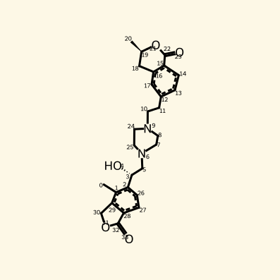 Cc1c([C@H](O)CN2CCN(CCc3ccc4c(c3)C[C@@H](C)OC4=O)CC2)ccc2c1COC2=O